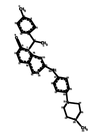 Cc1ccc(C(C)n2c(=O)ccc3cnc(Nc4ccc(N5CCN(C)CC5)cc4)nc32)cc1